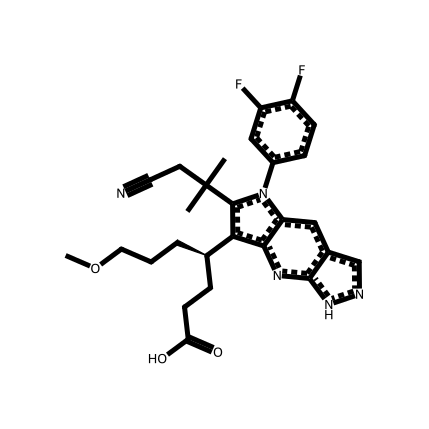 COCCC[C@H](CCC(=O)O)c1c(C(C)(C)CC#N)n(-c2ccc(F)c(F)c2)c2cc3cn[nH]c3nc12